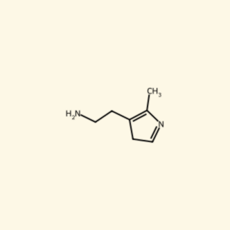 CC1=C(CCN)CC=N1